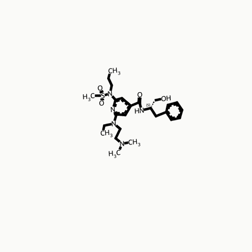 CCCN(c1cc(C(=O)N[C@H](CO)Cc2ccccc2)cc(N(CC)CCN(C)C)n1)S(C)(=O)=O